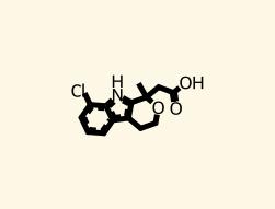 CC1(CC(=O)O)OCCc2c1[nH]c1c(Cl)cccc21